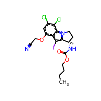 CCCCOC(=O)N[C@H]1CCn2c1c(I)c1c(OCC#N)cc(Cl)c(Cl)c12